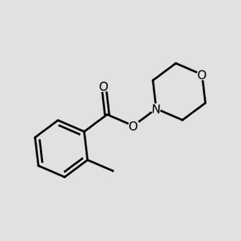 Cc1ccccc1C(=O)ON1CCOCC1